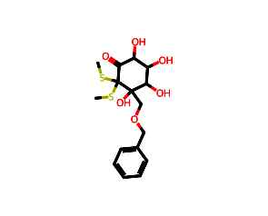 CSC1(SC)C(=O)C(O)C(O)C(O)C1(O)COCc1ccccc1